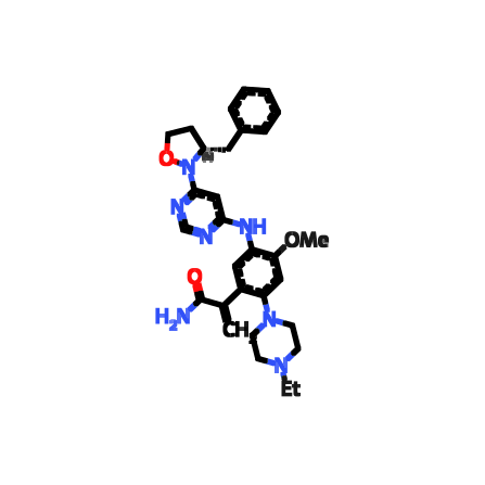 C=C(C(N)=O)c1cc(Nc2cc(N3OCC[C@@H]3Cc3ccccc3)ncn2)c(OC)cc1N1CCN(CC)CC1